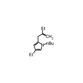 C=C(CC)Cc1cc(CC)cn1CCCC